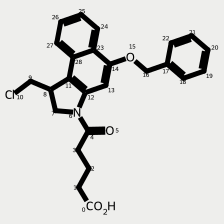 O=C(O)CCCC(=O)N1CC(CCl)c2c1cc(OCc1ccccc1)c1ccccc21